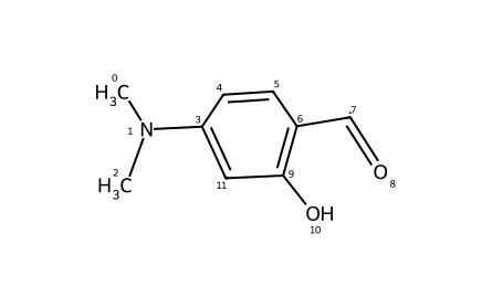 CN(C)c1ccc([C]=O)c(O)c1